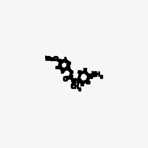 CC(C)COc1ccc(CC(=O)N(C)[C@H]2CC[C@H](N)CC2)cc1